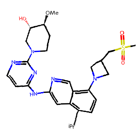 CO[C@H]1CCN(c2nccc(Nc3cc4c(C(C)C)ccc(N5CC(CS(C)(=O)=O)C5)c4cn3)n2)C[C@@H]1O